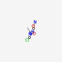 CCCCCC1CN(Cc2ccc(OCCCN(C)C)cc2)C(=O)c2cc(-c3ccc(Cl)cc3)nn21